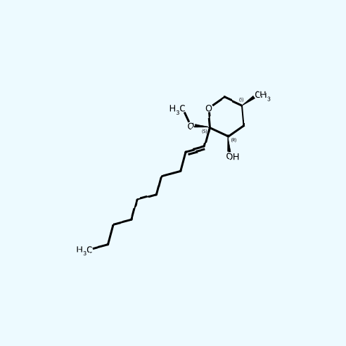 CCCCCCCCC=C[C@]1(OC)OC[C@@H](C)C[C@H]1O